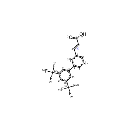 O=C(O)/C=C/c1cncc(-c2cc(C(F)(F)F)cc(C(F)(F)F)c2)n1